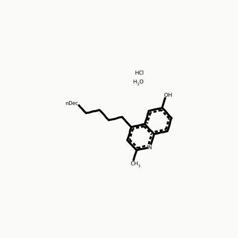 CCCCCCCCCCCCCCc1cc(C)nc2ccc(O)cc12.Cl.O